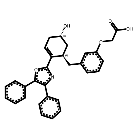 O=C(O)COc1cccc(C[C@@H]2C[C@@H](O)CC=C2c2nc(-c3ccccc3)c(-c3ccccc3)o2)c1